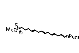 CCCCCC=CCC=CCC=CCC=CCCCP(=O)(F)OC